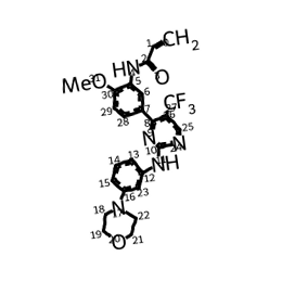 C=CC(=O)Nc1cc(-c2nc(Nc3cccc(N4CCOCC4)c3)ncc2C(F)(F)F)ccc1OC